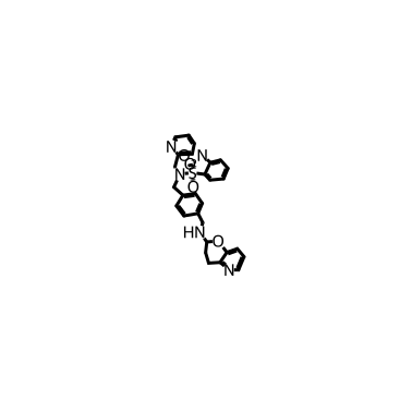 O=[N+]([O-])c1ccccc1S(=O)(=O)N(Cc1ccc(CNC2CCc3ncccc3O2)cc1)Cc1ccccn1